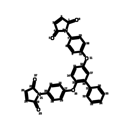 O=C1C=CC(=O)N1c1ccc(Oc2ccc(Oc3ccc(N4C(=O)C=CC4=O)cc3)c(-c3ccccc3)c2)cc1